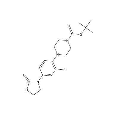 CC(C)(C)OC(=O)N1CCN(c2ccc(N3CCOC3=O)cc2F)CC1